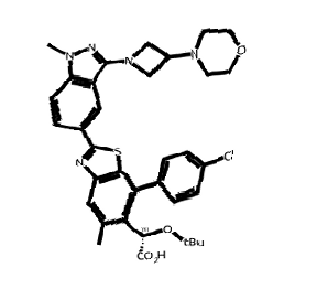 Cc1cc2nc(-c3ccc4c(c3)c(N3CC(N5CCOCC5)C3)nn4C)sc2c(-c2ccc(Cl)cc2)c1[C@H](OC(C)(C)C)C(=O)O